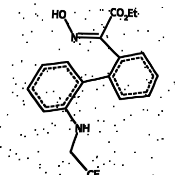 CCOC(=O)C(=NO)c1ccccc1-c1ccccc1NCC(F)(F)F